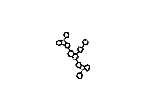 c1ccc(-n2c3ccccc3c3cc(-c4ccc5nc(-c6ccc7c(c6)c6ccccc6n7-c6ccccc6)cc(-c6ccc(-c7ccncc7)nc6)c5c4)ccc32)cc1